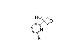 OC1(c2cccc(Br)n2)COC1